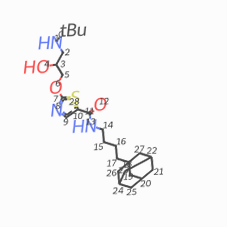 CC(C)(C)NCC(O)COc1ncc(C(=O)NCCCCC23CC4CC(CC(C4)C2)C3)s1